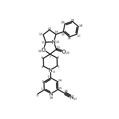 Cc1cc(N2CCC3(CC2)OC2CCC(c4ccccc4)N2C3=O)cc(C#N)n1